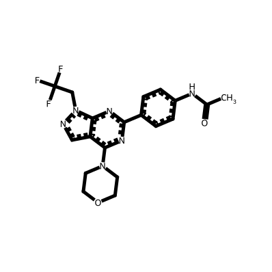 CC(=O)Nc1ccc(-c2nc(N3CCOCC3)c3cnn(CC(F)(F)F)c3n2)cc1